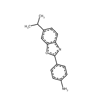 CC(C)c1ccc2nc(-c3ccc(N)cc3)oc2c1